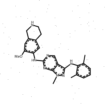 COc1cc2c(cc1Nc1ncc3c(Nc4c(C)cccc4C)nn(C)c3n1)CCNC2